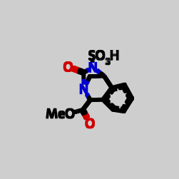 COC(=O)C1c2ccccc2C2CN1C(=O)N2S(=O)(=O)O